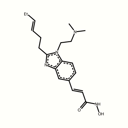 CCC=CCCc1nc2cc(/C=C/C(=O)NO)ccc2n1CCN(C)C